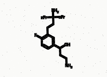 CCCC(N)(CCC)CCc1cc(C(O)CCN)ccc1F